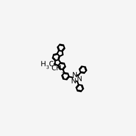 CC1(C)c2cc(-c3cccc(-c4nc(-c5ccccc5)nc(-c5ccccc5)n4)c3)ccc2-c2c1ccc1c2Cc2ccccc2-1